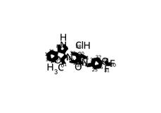 CCC(=O)C([C@@H]1CNC[C@@H]1c1ccccc1)N1CCC2(CCN(Cc3ccc(OC(F)F)cc3)C2=O)CC1.Cl